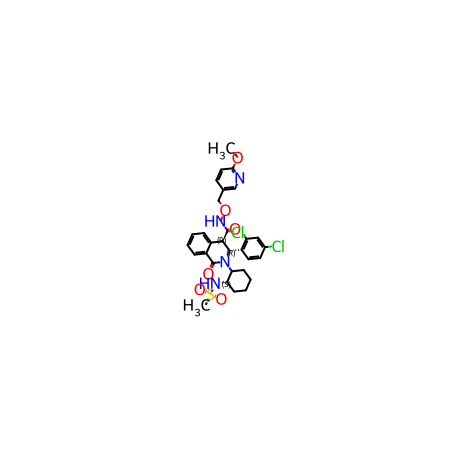 COc1ccc(CONC(=O)[C@@H]2c3ccccc3C(=O)N(C3CCCC[C@@H]3NS(C)(=O)=O)[C@H]2c2ccc(Cl)cc2Cl)cn1